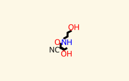 CC(O)=C(C#N)C(=O)NCCCCO